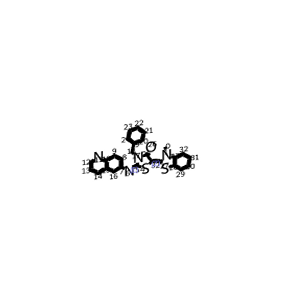 CN1/C(=C2/S/C(=N/c3ccc4ncccc4c3)N(Cc3ccccc3)C2=O)Sc2ccccc21